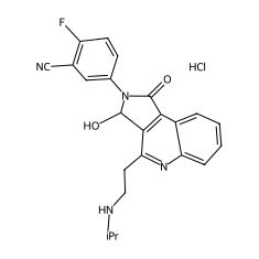 CC(C)NCCc1nc2ccccc2c2c1C(O)N(c1ccc(F)c(C#N)c1)C2=O.Cl